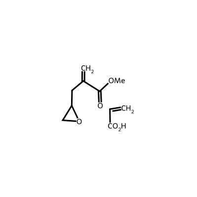 C=C(CC1CO1)C(=O)OC.C=CC(=O)O